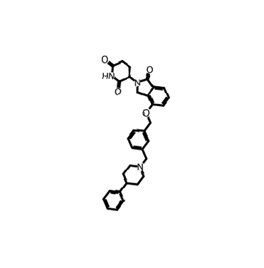 O=C1CCC(N2Cc3c(OCc4cccc(CN5CCC(c6ccccc6)CC5)c4)cccc3C2=O)C(=O)N1